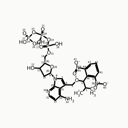 CC(C)C(OCc1cn([C@H]2CC(O)[C@@H](COP(=O)(O)OP(=O)(O)OP(=O)(O)O)O2)c2nccc(N)c12)c1c([N+](=O)[O-])cccc1[N+](=O)[O-]